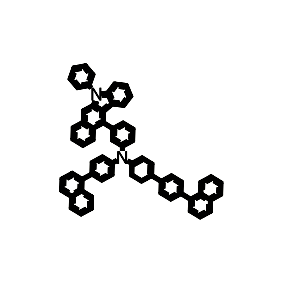 C1=C(c2ccc(-c3cccc4ccccc34)cc2)CCC(N(c2ccc(-c3cccc4ccccc34)cc2)c2cccc(-c3c4ccccc4cc4c3c3ccccc3n4-c3ccccc3)c2)=C1